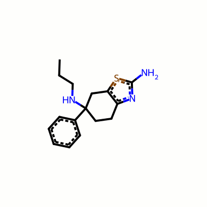 CCCNC1(c2ccccc2)CCc2nc(N)sc2C1